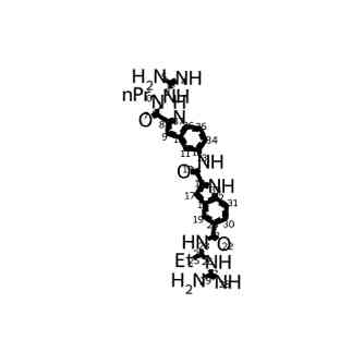 CCCN(NC(=N)N)C(=O)c1cc2cc(NC(=O)c3cc4cc(C(=O)NC(CC)NC(=N)N)ccc4[nH]3)ccc2[nH]1